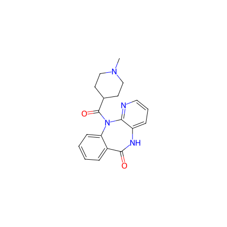 CN1CCC(C(=O)N2c3ccccc3C(=O)Nc3cccnc32)CC1